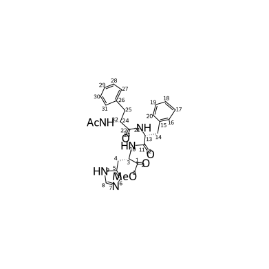 COC(=O)[C@H](Cc1cnc[nH]1)NC(=O)[C@@H](Cc1ccccc1)NC(=O)[C@@H](Cc1ccccc1)NC(C)=O